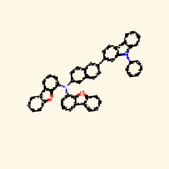 c1ccc(-n2c3ccccc3c3ccc(-c4ccc5cc(N(c6cccc7c6oc6ccccc67)c6cccc7c6oc6ccccc67)ccc5c4)cc32)cc1